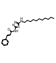 CCCCCCCCCCCNc1nnc(NC(=O)C=Cc2ccccc2)s1